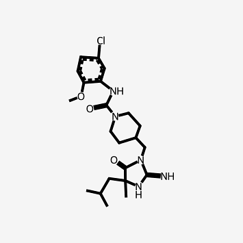 COc1ccc(Cl)cc1NC(=O)N1CCC(CN2C(=N)NC(C)(CC(C)C)C2=O)CC1